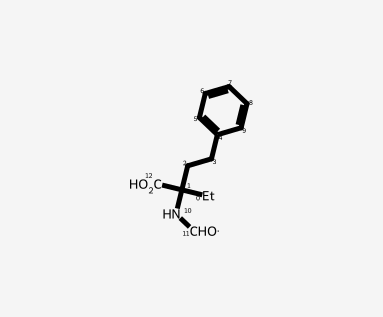 CCC(CCc1ccccc1)(N[C]=O)C(=O)O